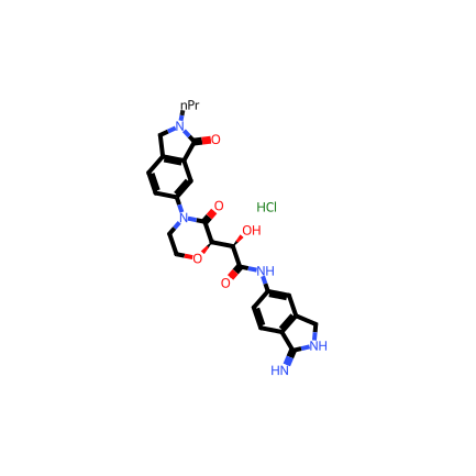 CCCN1Cc2ccc(N3CCO[C@H]([C@@H](O)C(=O)Nc4ccc5c(c4)CNC5=N)C3=O)cc2C1=O.Cl